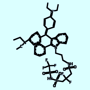 CCN(CC)c1ccc(C(=C2C=CC(=[N+](CC)CC)C=C2)c2c(-c3ccccc3)n(CCCNS(=O)(=O)CC(F)(F)CS(=O)(=O)NS(=O)(=O)C(F)(F)F)c3ccccc23)cc1